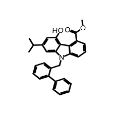 COC(=O)c1cccc2c1c1c(O)cc(C(C)C)cc1n2Cc1ccccc1-c1ccccc1